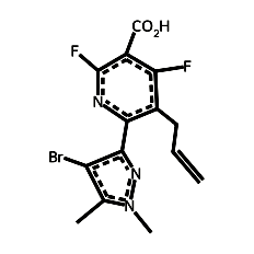 C=CCc1c(-c2nn(C)c(C)c2Br)nc(F)c(C(=O)O)c1F